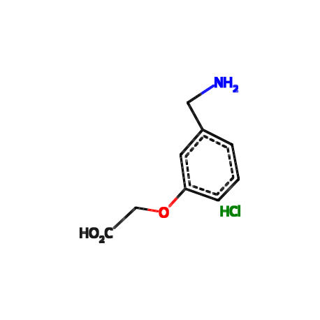 Cl.NCc1cccc(OCC(=O)O)c1